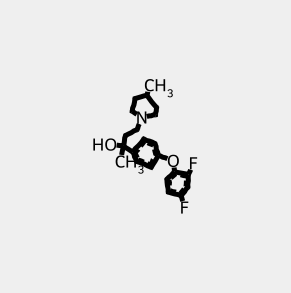 CC1CCN(CCC(C)(O)c2ccc(Oc3ccc(F)cc3F)cc2)CC1